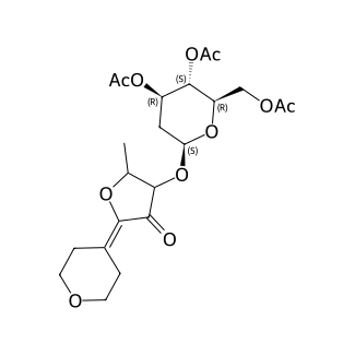 CC(=O)OC[C@H]1O[C@@H](OC2C(=O)C(=C3CCOCC3)OC2C)C[C@@H](OC(C)=O)[C@@H]1OC(C)=O